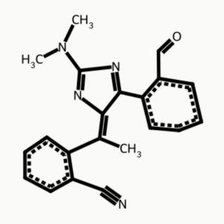 C/C(=C1/N=C(N(C)C)N=C1c1ccccc1C=O)c1ccccc1C#N